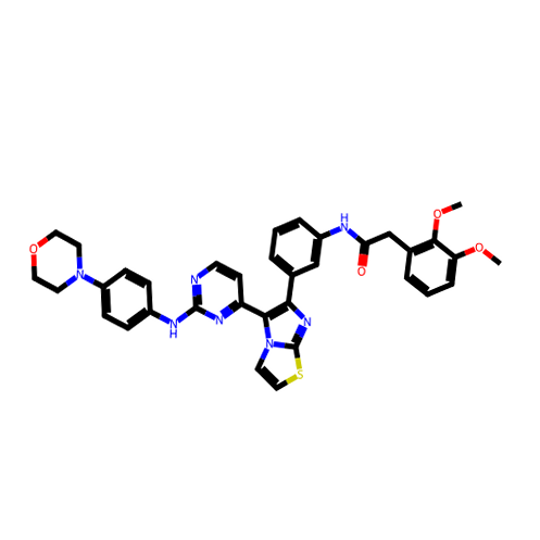 COc1cccc(CC(=O)Nc2cccc(-c3nc4sccn4c3-c3ccnc(Nc4ccc(N5CCOCC5)cc4)n3)c2)c1OC